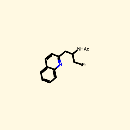 CC(=O)NC(Cc1ccc2ccccc2n1)CC(C)C